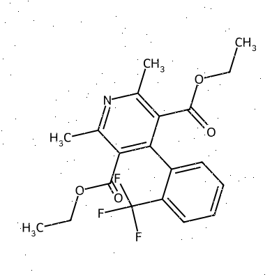 CCOC(=O)c1c(C)nc(C)c(C(=O)OCC)c1-c1ccccc1C(F)(F)F